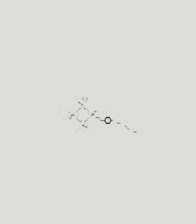 CCOCCOCCOc1ccc(CCC[C@@H](C(=O)O)N2CCN([C@@H](CO)C(=O)O)CCN([C@@H](CO)C(=O)O)CCN([C@@H](CO)C(=O)O)CC2)cc1